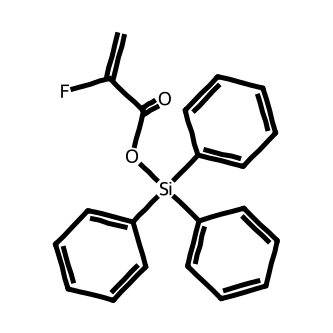 C=C(F)C(=O)O[Si](c1ccccc1)(c1ccccc1)c1ccccc1